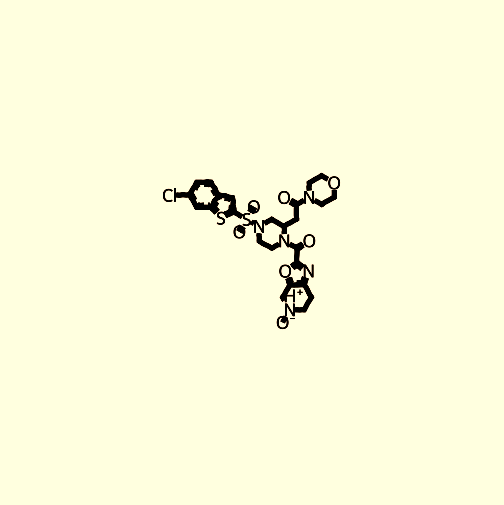 O=C(CC1CN(S(=O)(=O)c2cc3ccc(Cl)cc3s2)CCN1C(=O)c1nc2c(o1)C[NH+]([O-])CC2)N1CCOCC1